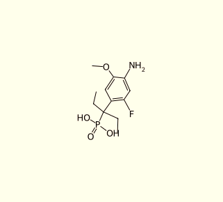 CCC(CC)(c1cc(OC)c(N)cc1F)P(=O)(O)O